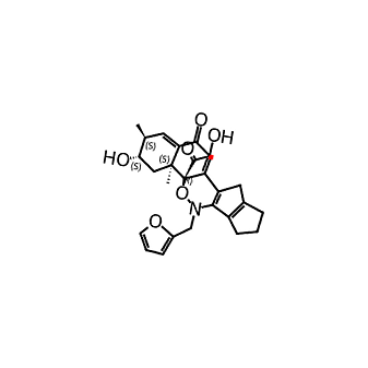 C[C@H]1C=C2C(=O)C=C3C4=C(C5=C(CCC5)C4)N(Cc4ccco4)O[C@]3(C(=O)CO)[C@@]2(C)C[C@@H]1O